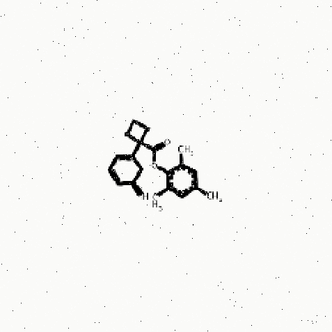 Cc1cc(C)c(OC(=O)C2(C3=CC=CC(=[IH])C3)CCC2)c(C)c1